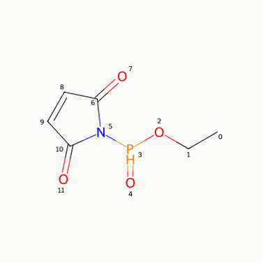 CCO[PH](=O)N1C(=O)C=CC1=O